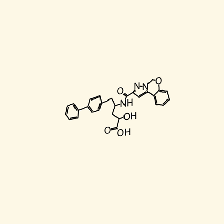 O=C(NC(Cc1ccc(-c2ccccc2)cc1)CC(O)C(=O)O)c1cc2n(n1)COc1ccccc1-2